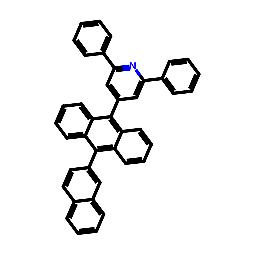 c1ccc(-c2cc(-c3c4ccccc4c(-c4ccc5ccccc5c4)c4ccccc34)cc(-c3ccccc3)n2)cc1